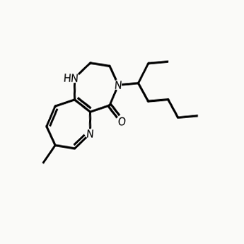 CCCCC(CC)N1CCNC2=C(N=CC(C)C=C2)C1=O